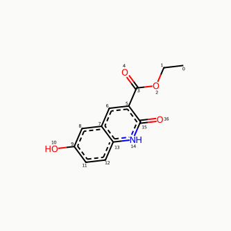 CCOC(=O)c1cc2cc(O)ccc2[nH]c1=O